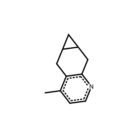 Cc1ccnc2c1CC1CC1C2